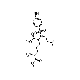 COC(=O)C(N)CCCC(C(=O)OC)N(CCC(C)C)S(=O)(=O)c1ccc(N)cc1